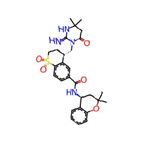 CC1(C)CC(=O)N(C[C@H]2CCS(=O)(=O)c3ccc(C(=O)N[C@H]4CC(C)(C)Oc5ccccc54)cc32)C(=N)N1